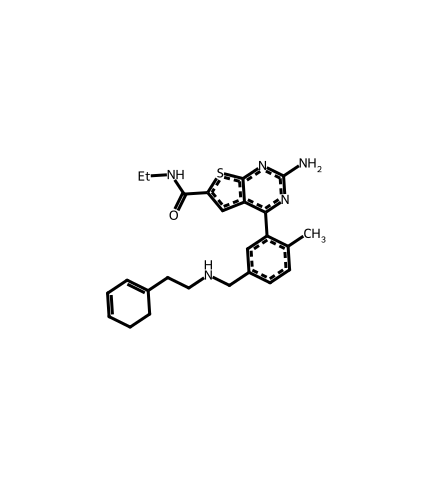 CCNC(=O)c1cc2c(-c3cc(CNCCC4=CC=CCC4)ccc3C)nc(N)nc2s1